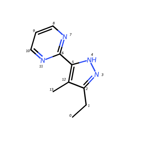 CCc1n[nH]c(-c2ncccn2)c1C